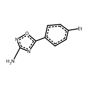 CCc1ccc(-c2nc(N)no2)cc1